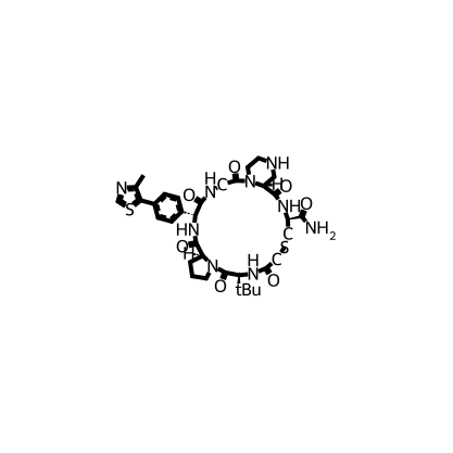 Cc1ncsc1-c1ccc([C@H]2NC(=O)[C@@H]3CCCN3C(=O)[C@H](C(C)(C)C)NC(=O)CSC[C@H](C(N)=O)NC(=O)[C@H]3CNCCN3C(=O)CNC2=O)cc1